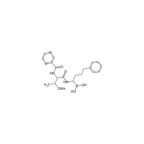 COC(C)C(NC(=O)c1cnccn1)C(=O)NC(CCCc1ccccc1)B(O)O